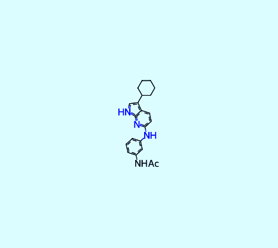 CC(=O)Nc1cccc(Nc2ccc3c(C4CCCCC4)c[nH]c3n2)c1